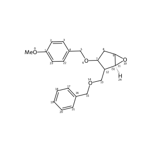 COc1ccc(COC2CC3O[C@H]3C2COCc2ccccc2)cc1